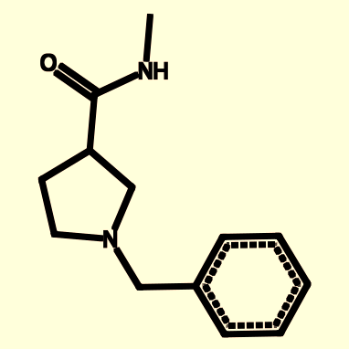 CNC(=O)C1CCN(Cc2ccccc2)C1